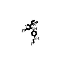 Cn1ccc(-c2cnc(Cl)cc2NC2CCC(NCCF)CC2)n1